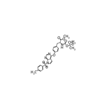 COC(=O)C(Cc1ccc(Oc2ncnc3c2ccn3S(=O)(=O)c2ccc(C)cc2)cc1)NC(=O)OC(C)(C)C